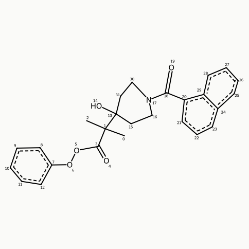 CC(C)(C(=O)OOc1ccccc1)C1(O)CCN(C(=O)c2cccc3ccccc23)CC1